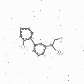 Cc1ccccc1-c1cccc(C(CC(C)C)C(=O)O)c1